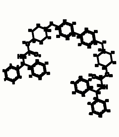 O=C(NC(c1ccccc1)c1ccccc1)OC1CCN(Cc2ccc(-c3ccc(CN4CCC(OC(=O)NC(c5ccccc5)c5ccccc5)CC4)cc3)cc2)CC1